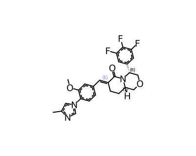 COc1cc(/C=C2\CC[C@H]3COC[C@@H](c4cc(F)c(F)c(F)c4)N3C2=O)ccc1-n1cnc(C)c1